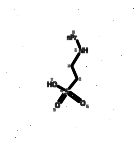 CCCNCCS(=O)(=O)O